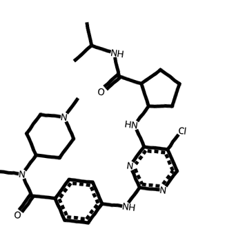 CC(C)NC(=O)C1CCCC1Nc1nc(Nc2ccc(C(=O)N(C)C3CCN(C)CC3)cc2)ncc1Cl